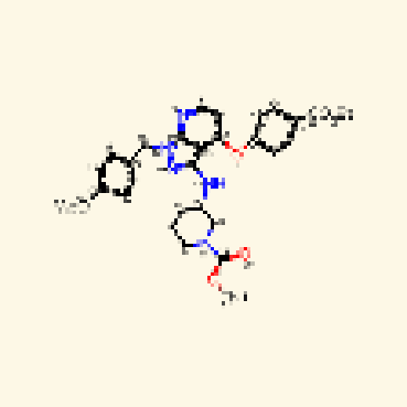 CCOC(=O)c1ccc(Oc2ccnc3c2c(N[C@@H]2CCCN(C(=O)OC(C)(C)C)C2)nn3Cc2ccc(OC)cc2)cc1